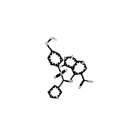 COc1ccc(S(=O)(=O)C(Nc2c(C(=O)O)cnc3onc(C)c23)c2cccnc2)cc1